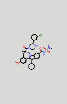 COc1ccc2c(c1)C1CC1(C(=O)N1CCNC(C3C=C(Cl)C=CC3)C1)Cn1c-2c(C2CCCCC2)c2ccc(C(=O)NS(=O)(=O)N(C)C)cc21